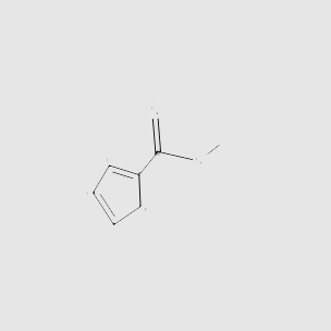 CNC(=N)C1=CC=CC1